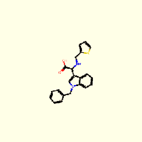 O=C(O)C(NCc1cccs1)c1cn(Cc2ccccc2)c2ccccc12